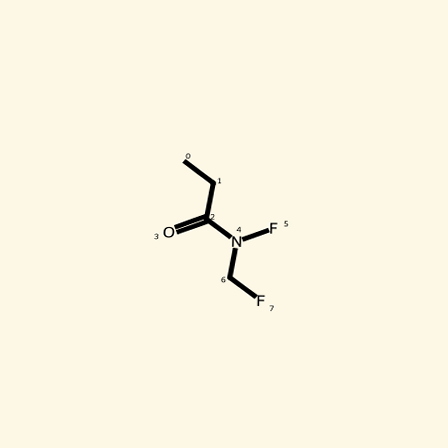 CCC(=O)N(F)CF